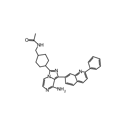 CC(=O)NCC1CCC(c2nc(-c3ccc4ccc(-c5ccccc5)nc4c3)c3c(N)nccn23)CC1